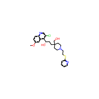 COc1ccc2ncc(Cl)c([C@@H](O)CCC3(CO)CCN(CCSc4ccccn4)CC3)c2c1